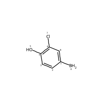 Bc1ccc(O)c(Cl)c1